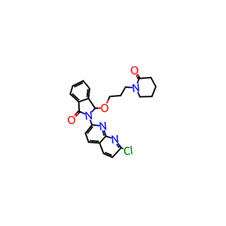 O=C1CCCCN1CCCOC1c2ccccc2C(=O)N1c1ccc2ccc(Cl)nc2n1